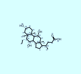 CC[C@H]1[C@@H](O)C2C3CCC([C@H](C)CCC(=O)O)[C@@]3(C)C[C@H](O)C2[C@@]2(C)CC[C@@H](O)C[C@@H]12